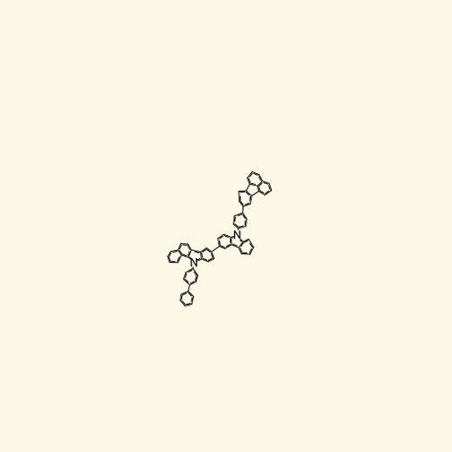 c1ccc(-c2ccc(-n3c4ccc(-c5ccc6c(c5)c5ccccc5n6-c5ccc(-c6ccc7c(c6)-c6cccc8cccc-7c68)cc5)cc4c4ccc5ccccc5c43)cc2)cc1